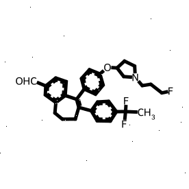 CC(F)(F)c1ccc(C2=C(c3ccc(OC4CCN(CCCF)C4)cc3)c3ccc(C=O)cc3CCC2)cc1